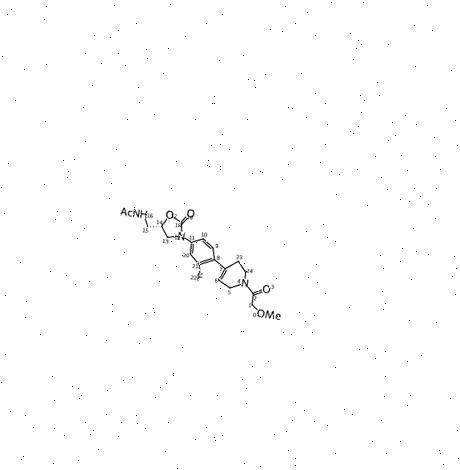 COCC(=O)N1CC=C(c2ccc(N3C[C@H](CNC(C)=O)OC3=O)cc2F)CC1